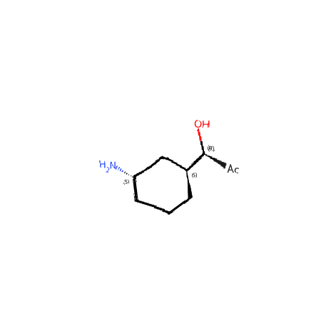 CC(=O)[C@H](O)[C@H]1CCC[C@H](N)C1